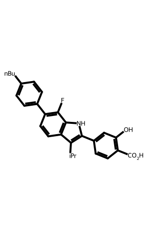 CCCCc1ccc(-c2ccc3c(C(C)C)c(-c4ccc(C(=O)O)c(O)c4)[nH]c3c2F)cc1